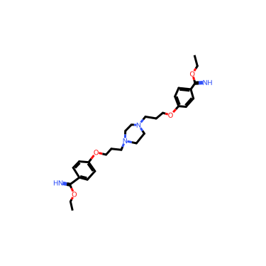 CCOC(=N)c1ccc(OCCCN2CCN(CCCOc3ccc(C(=N)OCC)cc3)CC2)cc1